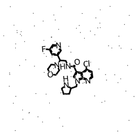 O=C(NCC(c1cncc(F)c1)N1CCOCC1)c1cn(CC2CCCN2)c2nccc(Cl)c12